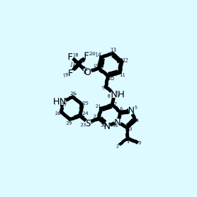 CC(C)c1cnc2c(NCc3ccccc3OC(F)(F)F)cc(SC3CCNCC3)nn12